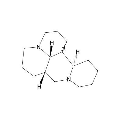 C1CCN2C[C@@H]3CCCN4CCC[C@@H]([C@H]34)[C@H]2C1